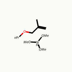 C=C(C)COCCC.CO[SiH](OC)OC